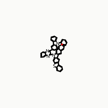 c1ccc(-n2c3ccccc3c3cc(-c4nc5ccccc5nc4-n4c5cc6ccccc6cc5c5cc6c(cc54)sc4ccccc46)ccc32)cc1